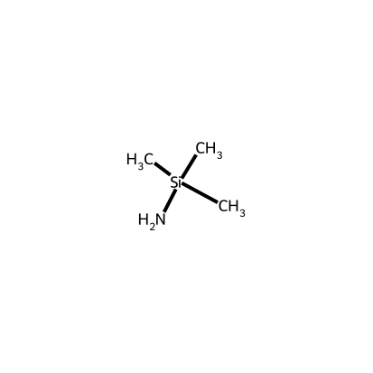 C[Si](C)(C)N